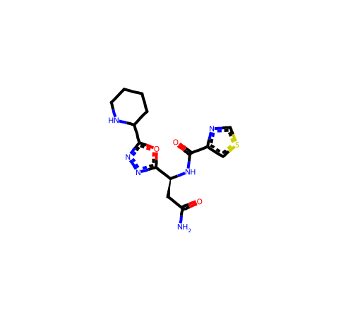 NC(=O)C[C@H](NC(=O)c1cscn1)c1nnc(C2CCCCN2)o1